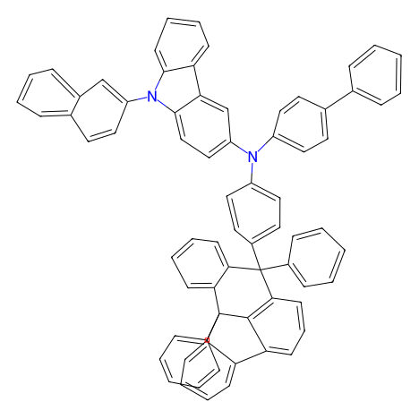 c1ccc(-c2ccc(N(c3ccc(C4(c5ccccc5)c5ccccc5C5(c6ccccc6)c6ccccc6-c6cccc4c65)cc3)c3ccc4c(c3)c3ccccc3n4-c3ccc4ccccc4c3)cc2)cc1